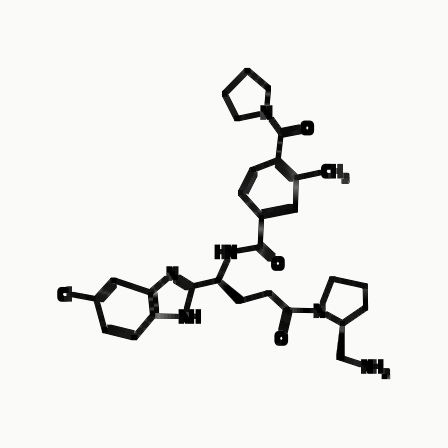 Cc1cc(C(=O)N[C@@H](CCC(=O)N2CCC[C@H]2CN)c2nc3cc(Cl)ccc3[nH]2)ccc1C(=O)N1CCCC1